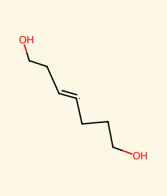 OCCC=[C]CCCO